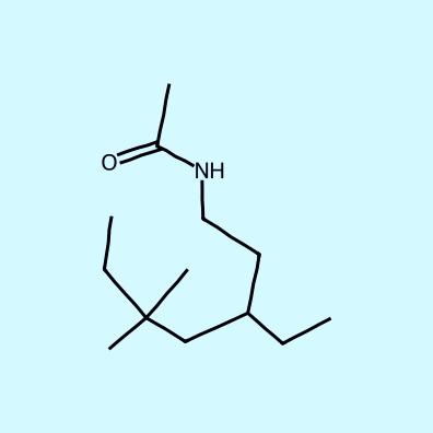 CCC(CCNC(C)=O)CC(C)(C)CC